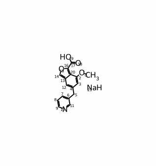 COc1cc(Cc2cccnc2)cc2coc(C(=O)O)c12.[NaH]